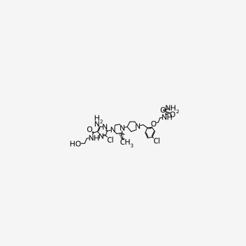 CC[C@H]1CN(c2nc(N)c(C(=O)NCCO)nc2Cl)CCN1C1CCN(Cc2ccc(Cl)cc2OCCNS(N)(=O)=O)CC1